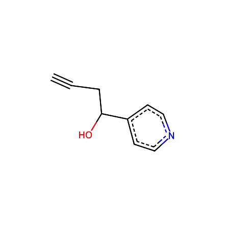 C#CCC(O)c1ccncc1